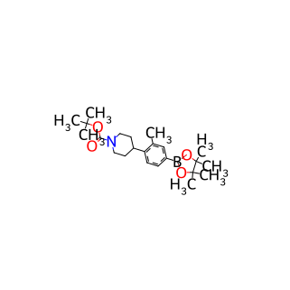 Cc1cc(B2OC(C)(C)C(C)(C)O2)ccc1C1CCN(C(=O)OC(C)(C)C)CC1